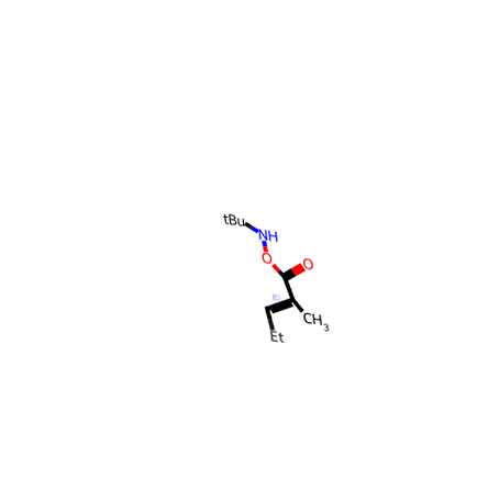 CC/C=C(\C)C(=O)ONC(C)(C)C